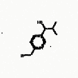 CC(C)C(O)c1ccc(CBr)cc1